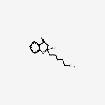 CCCCCCC1(Br)CC(=O)c2ccccc2O1